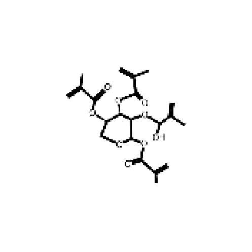 C=C(C)C(=O)OC1OC[C@@H](OC(=O)C(=C)C)[C@@H](OC(=O)C(=C)C)C1OC(O)C(=C)C